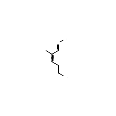 COCCC=C(C)C=NO